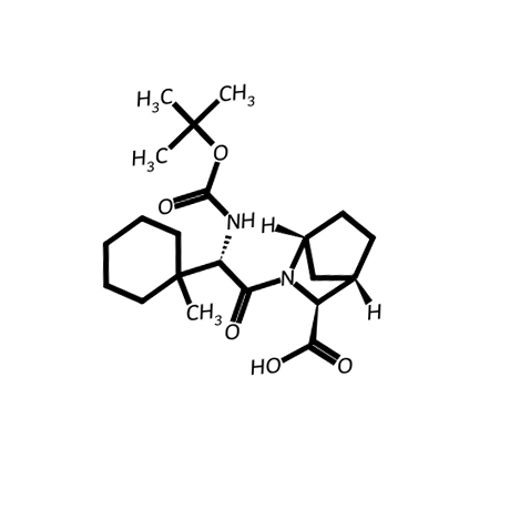 CC(C)(C)OC(=O)N[C@H](C(=O)N1[C@@H]2CC[C@@H](C2)[C@H]1C(=O)O)C1(C)CCCCC1